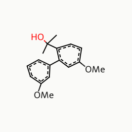 COc1cccc(-c2cc(OC)ccc2C(C)(C)O)c1